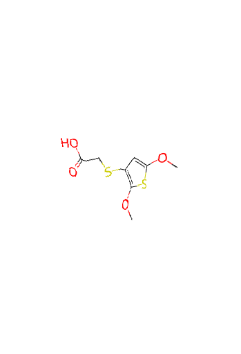 COc1cc(SCC(=O)O)c(OC)s1